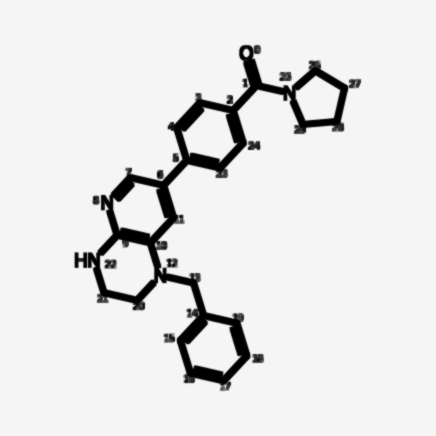 O=C(c1ccc(-c2cnc3c(c2)N(Cc2ccccc2)CCN3)cc1)N1CCCC1